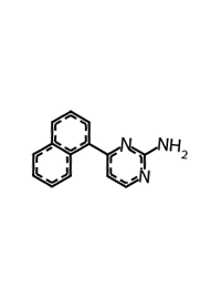 Nc1nccc(-c2cccc3ccccc23)n1